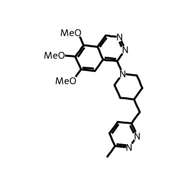 COc1cc2c(N3CCC(Cc4ccc(C)nn4)CC3)nncc2c(OC)c1OC